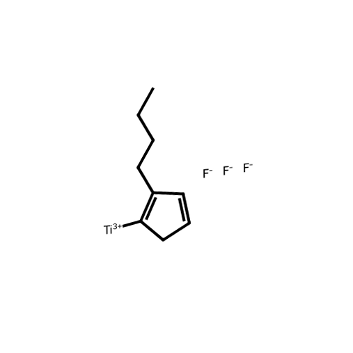 CCCCC1=[C]([Ti+3])CC=C1.[F-].[F-].[F-]